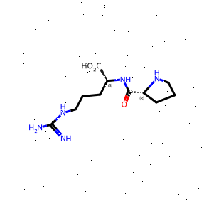 N=C(N)NCCC[C@H](NC(=O)[C@H]1CCCN1)C(=O)O